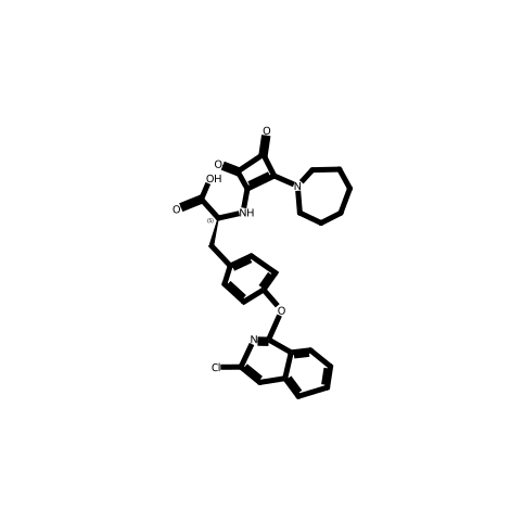 O=C(O)[C@H](Cc1ccc(Oc2nc(Cl)cc3ccccc23)cc1)Nc1c(N2CCCCCC2)c(=O)c1=O